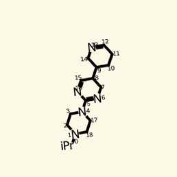 CC(C)N1CCN(C2=NCC(C3CCC=NC3)C=N2)CC1